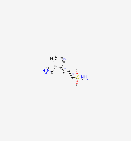 C\C=C/C(=C\C=C\S(N)(=O)=O)CCN